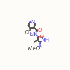 CON=c1[nH]oc(NC(=O)c2cnccc2C(F)(F)F)c1C